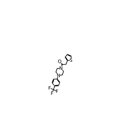 O=C(Cc1cccs1)N1CCN(c2ccc(C(F)(F)F)cc2)CC1